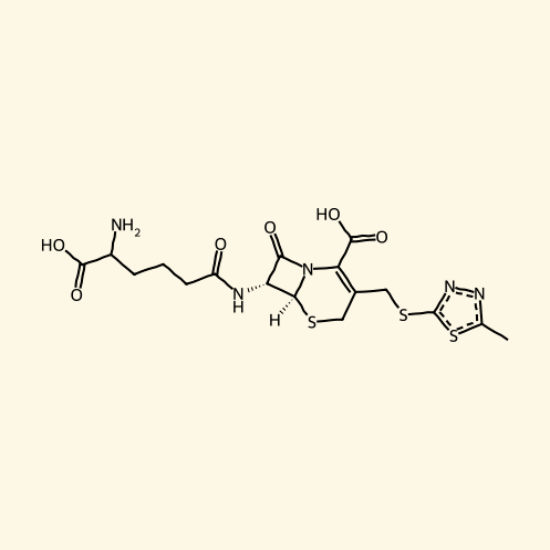 Cc1nnc(SCC2=C(C(=O)O)N3C(=O)[C@@H](NC(=O)CCCC(N)C(=O)O)[C@@H]3SC2)s1